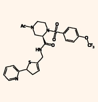 CC(=O)N1CCN(S(=O)(=O)c2ccc(OC(F)(F)F)cc2)[C@@H](C(=O)NCC2=CCC(c3ccccn3)S2)C1